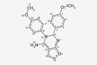 COc1ccc(C2N=c3occc3=C(N)N2c2ccc(OC)cc2)cc1